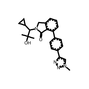 Cn1cc(-c2ccc(-c3cccc4c3C(=O)N(C(C3CC3)C(C)(C)O)C4)cc2)nn1